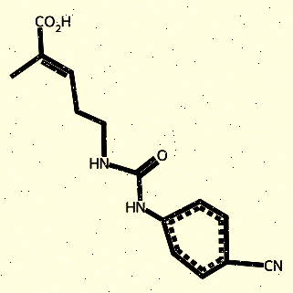 C/C(=C\CCNC(=O)Nc1ccc(C#N)cc1)C(=O)O